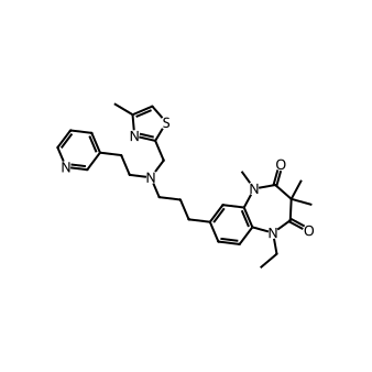 CCN1C(=O)C(C)(C)C(=O)N(C)c2cc(CCCN(CCc3cccnc3)Cc3nc(C)cs3)ccc21